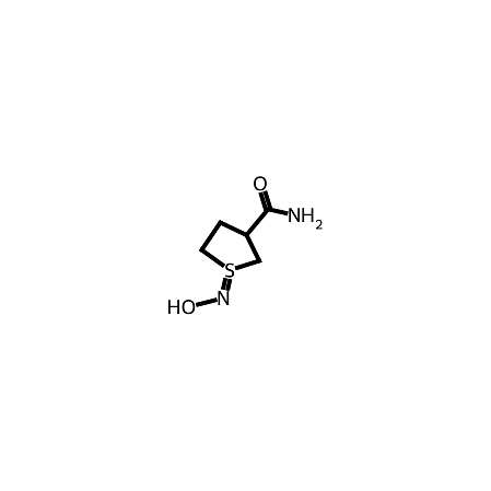 NC(=O)C1CCS(=NO)C1